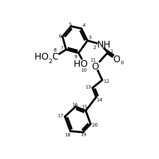 O=C(Nc1cccc(C(=O)O)c1O)OCC=Cc1ccccc1